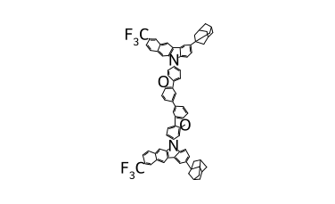 FC(F)(F)c1ccc2cc3c(cc2c1)c1cc(C24CC5CC(CC(C5)C2)C4)ccc1n3-c1ccc2c(c1)oc1ccc(-c3ccc4oc5cc(-n6c7ccc(C89CC%10CC(CC(C%10)C8)C9)cc7c7cc8cc(C(F)(F)F)ccc8cc76)ccc5c4c3)cc12